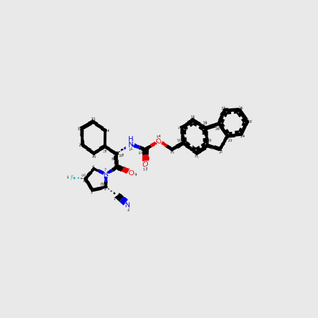 N#C[C@@H]1C[C@H](F)CN1C(=O)[C@@H](NC(=O)OCc1ccc2c(c1)Cc1ccccc1-2)C1CCCCC1